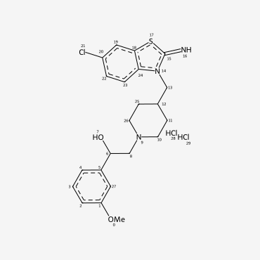 COc1cccc(C(O)CN2CCC(Cn3c(=N)sc4cc(Cl)ccc43)CC2)c1.Cl.Cl